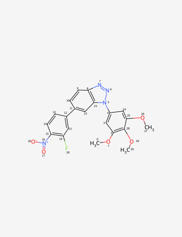 COc1cc(-n2nnc3ccc(-c4ccc([N+](=O)[O-])c(F)c4)cc32)cc(OC)c1OC